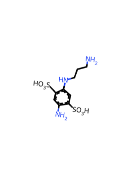 NCCCNc1cc(S(=O)(=O)O)c(N)cc1S(=O)(=O)O